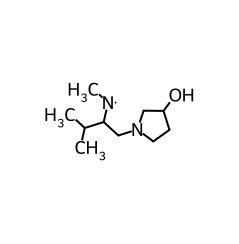 C[N]C(CN1CCC(O)C1)C(C)C